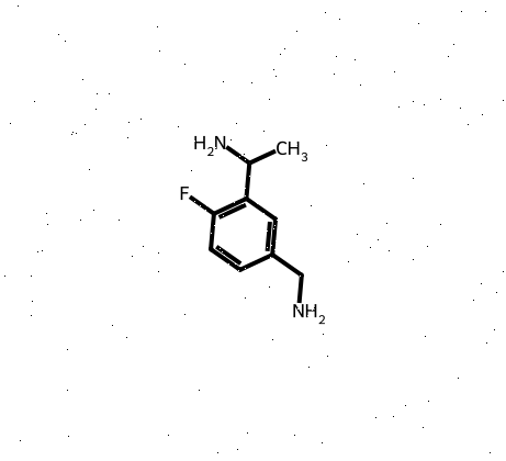 CC(N)c1cc(CN)ccc1F